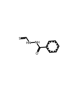 O=C(NN[C]=S)c1ccccc1